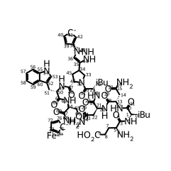 CC[C@H](C)[C@H](NC(=O)[C@@H](N)CCC(=O)O)C(=O)N[C@@H](CC(N)=O)C(=O)N[C@@H](CC(N)=O)C(=O)N[C@H](C(=O)N1CC(C2=CN(c3cc[cH-]c3)NN2)C[C@H]1C(=O)N[C@@H](Cc1c[nH]c2ccccc12)C(=O)N[C@@H](CO)C(N)=O)[C@@H](C)CC.[Fe+2].c1cc[cH-]c1